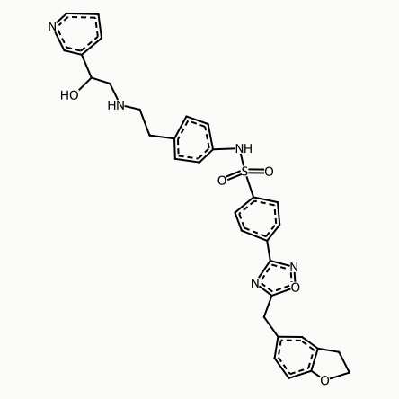 O=S(=O)(Nc1ccc(CCNCC(O)c2cccnc2)cc1)c1ccc(-c2noc(Cc3ccc4c(c3)CCO4)n2)cc1